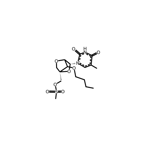 CCCCOC1C2OC[C@]1(COS(C)(=O)=O)O[C@H]2n1cc(C)c(=O)[nH]c1=O